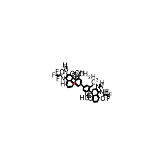 [H]/N=N/C1=C(NC(=O)C(F)(F)F)c2ccccc2C(c2ccc(-c3ccc(C4(S(=O)(=O)O)CC(/N=N/[H])=C(NC(=O)C(F)(F)F)c5ccccc54)c(CC)c3)cc2CC)(S(=O)(=O)O)C1